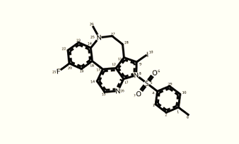 Cc1ccc(S(=O)(=O)n2c(I)c3c4c(ccnc42)-c2cc(F)ccc2N(C)CC3)cc1